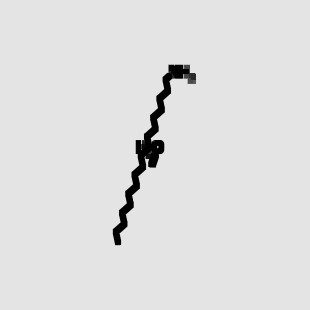 C=C.CCCCCCCCCCCCCCCCCCN.O